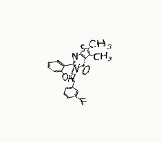 Cc1sc2nc(-c3ccccc3O)n(CCc3cccc(F)c3)c(=O)c2c1C